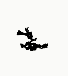 COc1ccc2nc(Cl)nc(Nc3cc(C4CC4)[nH]n3)c2c1